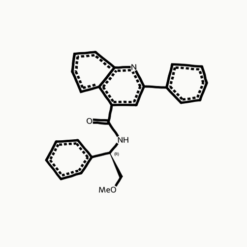 COC[C@H](NC(=O)c1cc(-c2ccccc2)nc2ccccc12)c1ccccc1